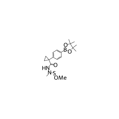 COSN(C)NC(=O)C1(c2ccc(B3OC(C)(C)C(C)(C)O3)cc2)CC1